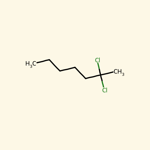 CCCCCC(C)(Cl)Cl